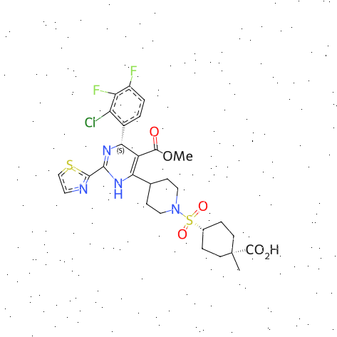 COC(=O)C1=C(C2CCN(S(=O)(=O)[C@H]3CC[C@@](C)(C(=O)O)CC3)CC2)NC(c2nccs2)=N[C@@H]1c1ccc(F)c(F)c1Cl